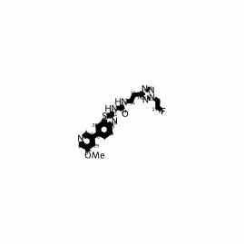 COc1cncc(-c2ccc3nc(NC(=O)NCCc4nnn(CCF)n4)sc3c2)c1